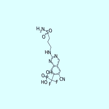 N#Cc1cc2cnc(NCCCS(N)(=O)=O)nc2cc1C(F)(F)P(=O)(O)O